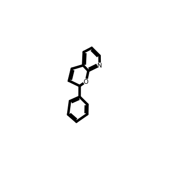 C1=CC(c2ccccc2)Oc2ncccc21